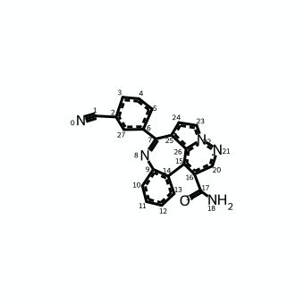 N#Cc1cccc(C2=Nc3ccccc3-c3c(C(N)=O)cnn4ccc2c34)c1